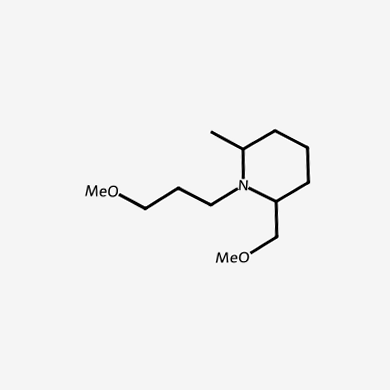 COCCCN1C(C)CCCC1COC